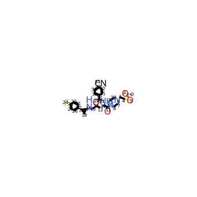 CS(=O)(=O)CCN1CCN(C(=O)[C@H](CCCN[C@@H]2C[C@H]2c2ccc(F)cc2)NC(=O)c2ccc(C#N)cc2)CC1